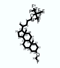 CC(CCCOC(C(F)(F)F)(C(F)(F)F)C(F)(F)F)C1CCC2C3CCC4CC(OCF)CCC4(C)C3CCC12C